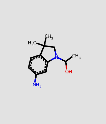 CC(O)N1CC(C)(C)c2ccc(N)cc21